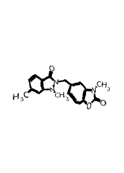 Cc1ccc2c(=O)n(Cc3ccc4oc(=O)n(C)c4c3)n(C)c2c1